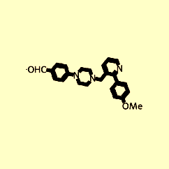 COc1ccc(-c2ncccc2CN2CCN(c3ccc([C]=O)cc3)CC2)cc1